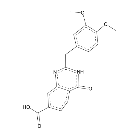 COc1ccc(Cc2nc3cc(C(=O)O)ccc3c(=O)[nH]2)cc1OC